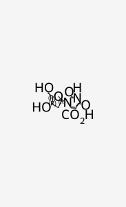 O=C(O)c1cn([C@H]2C[C@@H](O)[C@@H](CO)O2)c(=O)[nH]c1=O